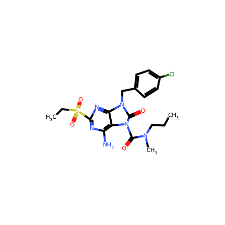 CCCN(C)C(=O)n1c(=O)n(Cc2ccc(Cl)cc2)c2nc(S(=O)(=O)CC)nc(N)c21